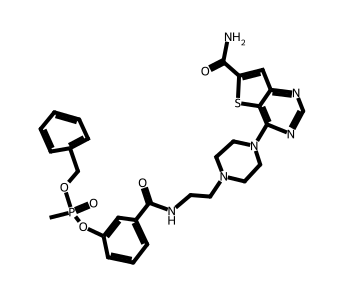 CP(=O)(OCc1ccccc1)Oc1cccc(C(=O)NCCN2CCN(c3ncnc4cc(C(N)=O)sc34)CC2)c1